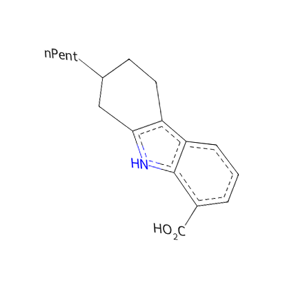 CCCCCC1CCc2c([nH]c3c(C(=O)O)cccc23)C1